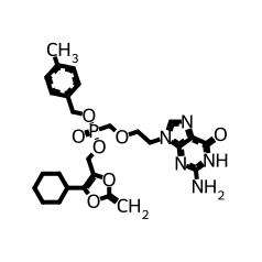 C=C1OC(COP(=O)(COCCn2cnc3c(=O)[nH]c(N)nc32)OCc2ccc(C)cc2)=C(C2CCCCC2)O1